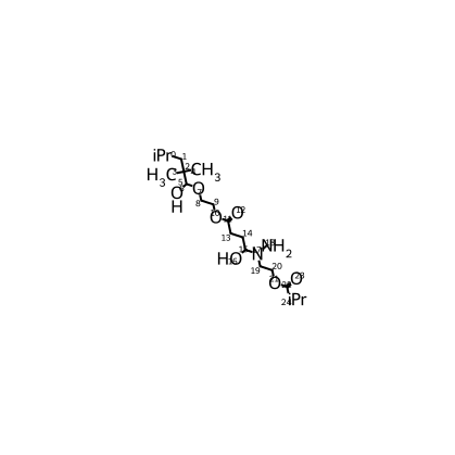 CC(C)CC(C)(C)C(O)OCCOC(=O)CCC(O)N(N)CCOC(=O)C(C)C